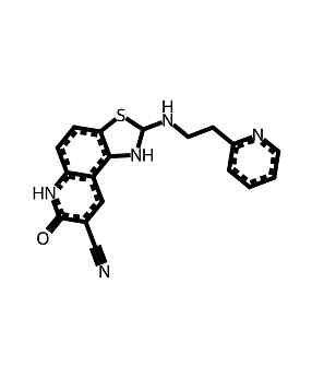 N#Cc1cc2c3c(ccc2[nH]c1=O)SC(NCCc1ccccn1)N3